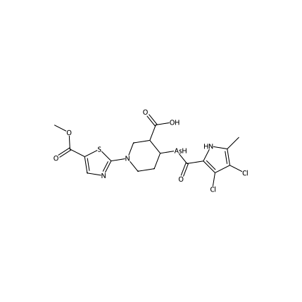 COC(=O)c1cnc(N2CCC([AsH]C(=O)c3[nH]c(C)c(Cl)c3Cl)C(C(=O)O)C2)s1